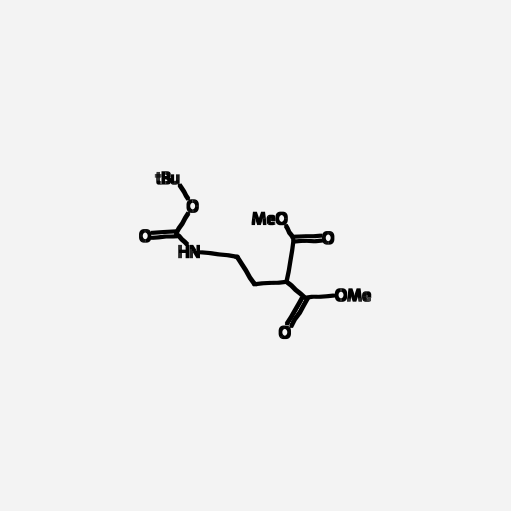 COC(=O)C(CCNC(=O)OC(C)(C)C)C(=O)OC